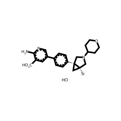 Cl.Nc1ncc(-c2ccc([C@@]34C[C@@H]3CN(C3CCOCC3)C4)cc2)cc1C(=O)O